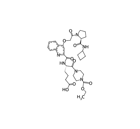 CCOC(=O)N1CCN(C(=O)[C@H](CCCC(=O)O)NC(=O)c2cc(OCC(=O)N3CCC[C@H]3C(=O)NC3CCC3)c3ccccc3n2)CC1